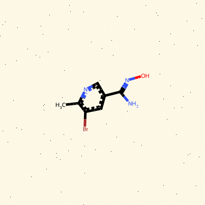 Cc1ncc(C(N)=NO)cc1Br